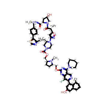 CCc1cccc2cc(O)cc(-c3ncc4c(N5CCCCCC5)nc(OC[C@@H]5CC[C@@H](COC(=O)N6CCN(c7cc([C@H](C(=O)N8C[C@H](O)C[C@H]8C(=O)N[C@@H](C)c8ccc(-c9scnc9C)cc8)C(C)C)on7)[C@H](C)C6)N5C)nc4c3F)c12